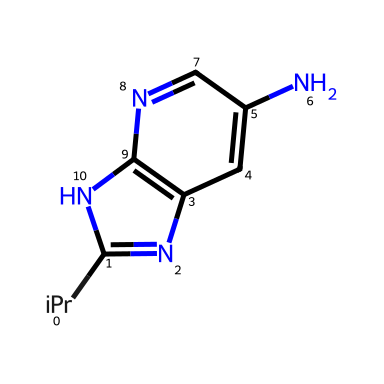 CC(C)c1nc2cc(N)cnc2[nH]1